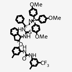 COc1ccc(P(=NC[C@H](NC(=S)N[C@@H]2c3ccccc3C[C@H]2Oc2ccc(C)cc2NC(=O)Nc2cc(C)cc(C(F)(F)F)c2)c2ccccc2)(c2ccc(OC)cc2)c2ccc(OC)cc2)cc1